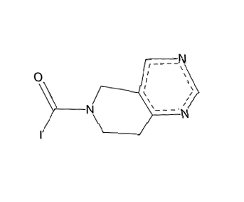 O=C(I)N1CCc2ncncc2C1